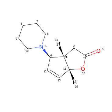 O=C1C[C@H]2[C@H](N3CCCCC3)C=C[C@H]2O1